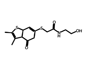 CC1=C(C)C2C(=O)CC(SCC(=O)NCCO)=CC2S1